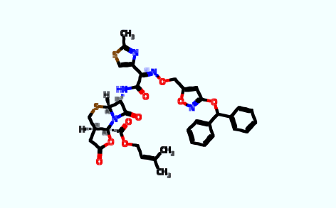 CC(C)=CCOC(=O)[C@]12OC(=O)C[C@H]1CS[C@@H]1[C@H](NC(=O)/C(=N\OCc3cc(OC(c4ccccc4)c4ccccc4)no3)c3csc(C)n3)C(=O)N12